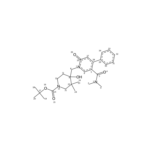 CN(C)C(=O)c1cn(CC2(O)CCN(C(=O)OC(C)(C)C)CC2(C)C)c(=O)cc1-c1ccccc1